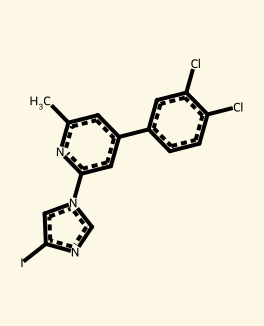 Cc1cc(-c2ccc(Cl)c(Cl)c2)cc(-n2cnc(I)c2)n1